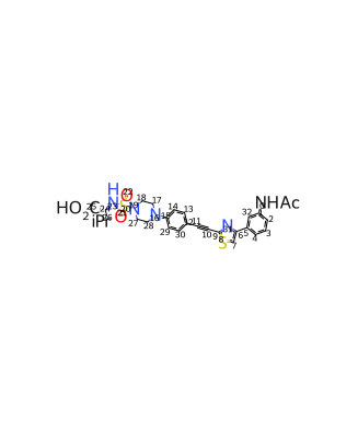 CC(=O)Nc1cccc(-c2csc(C#Cc3ccc(N4CCN(S(=O)(=O)N[C@@H](C(=O)O)C(C)C)CC4)cc3)n2)c1